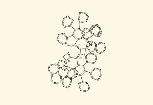 CC/C(=C1\C(=C(/C2=CC[C@H]2N(c2ccccc2)c2cccc3ccccc23)c2c(-c3ccccc3)c(-c3ccccc3)c(-c3ccccc3)c(-c3ccccc3)c2-c2ccccc2)CC1N(c1ccccc1)c1cccc2ccccc12)c1c(-c2ccccc2)c(-c2ccccc2)c(-c2ccccc2)c(-c2ccccc2)c1-c1ccccc1